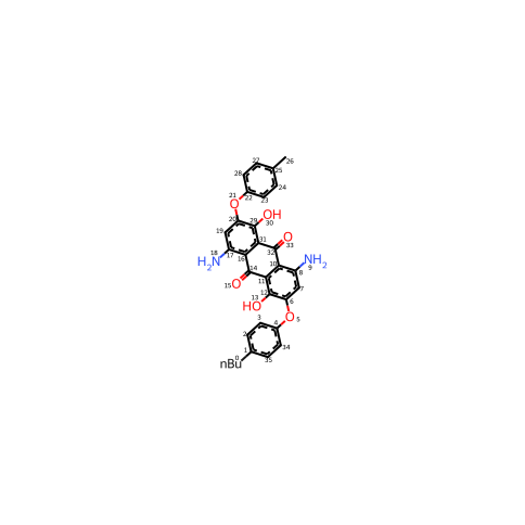 CCCCc1ccc(Oc2cc(N)c3c(c2O)C(=O)c2c(N)cc(Oc4ccc(C)cc4)c(O)c2C3=O)cc1